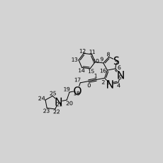 C(#Cc1ncnc2scc(-c3ccccc3)c12)COCCN1CCCC1